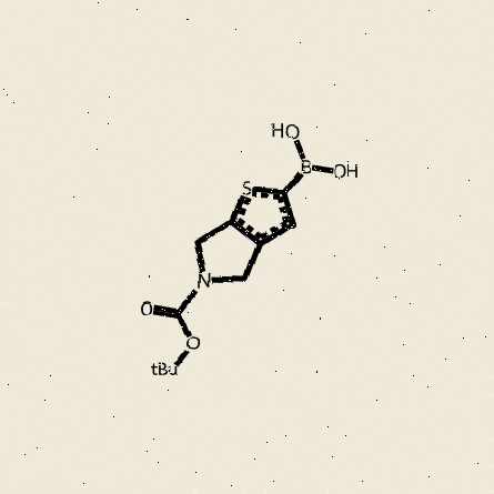 CC(C)(C)OC(=O)N1Cc2cc(B(O)O)sc2C1